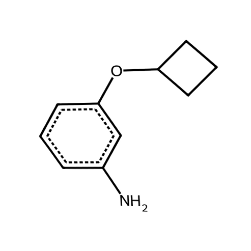 Nc1cccc(OC2CCC2)c1